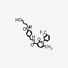 Cc1ccc(C(=O)NCc2ccc(S(=O)(=O)CCCO)cc2)c(=O)n1-c1cccc(C(F)(F)F)c1